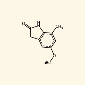 CCCCOc1cc(C)c2c(c1)CC(=O)N2